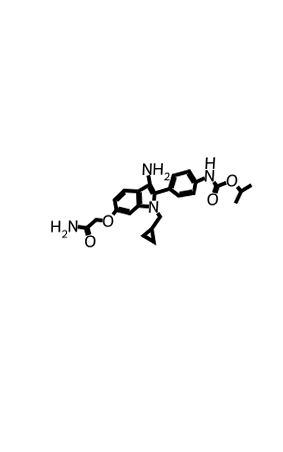 CC(C)OC(=O)Nc1ccc(-c2c(N)c3ccc(OCC(N)=O)cc3n2CC2CC2)cc1